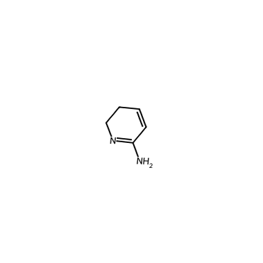 NC1=NCCC=C1